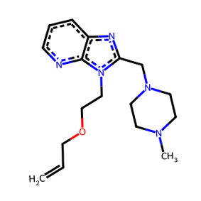 C=CCOCCn1c(CN2CCN(C)CC2)nc2cccnc21